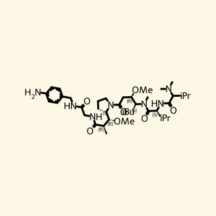 CC[C@H](C)C([C@@H](CC(=O)N1CCC[C@H]1[C@H](OC)[C@@H](C)C(=O)NCC(=O)NCc1ccc(N)cc1)OC)N(C)C(=O)[C@@H](NC(=O)C(C(C)C)N(C)C)C(C)C